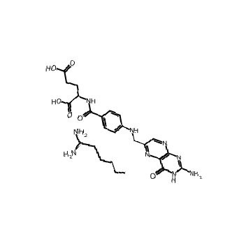 CCCCCC(N)N.Nc1nc2ncc(CNc3ccc(C(=O)NC(CCC(=O)O)C(=O)O)cc3)nc2c(=O)[nH]1